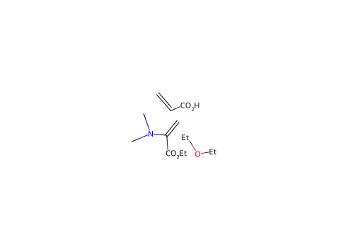 C=C(C(=O)OCC)N(C)C.C=CC(=O)O.CCOCC